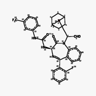 O=CC(N1CC2CCC(CC2)C1)N1C(=O)[C@H](NC(=O)Nc2cccc(C(F)(F)F)c2)N=C(c2ccccc2F)c2ccccc21